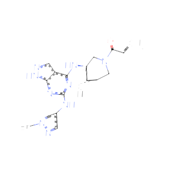 C=CC(=O)N1CC[C@@H](C)[C@@H](Nc2nc(Nc3cnn(CC)c3)nc3[nH]ncc23)C1